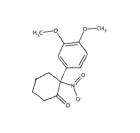 COc1ccc(C2([N+](=O)[O-])CCCCC2=O)cc1OC